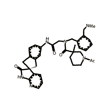 CNCc1ccccc1CN(CC(=O)Nc1ccc2c(c1)C[C@@]1(C2)C(=O)Nc2ncccc21)C(=O)C1(C)CCCN(C(C)=O)C1